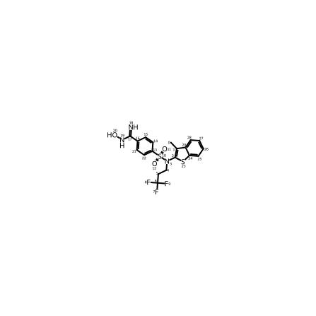 Cc1c(N(CCC(F)(F)F)S(=O)(=O)c2ccc(C(=N)NO)cc2)sc2ccccc12